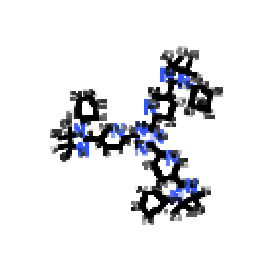 CC1(C)N=C(c2ccc(-c3nc(-c4ccc(C5=NC(C)(C)C(C)(C)N5c5ccccc5)cn4)nc(-c4ccc(C5=NC(C)(C)C(C)(C)N5c5ccccc5)cn4)n3)nc2)N(c2ccccc2)C1(C)C